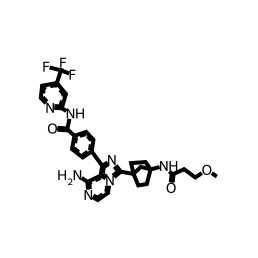 COCCC(=O)NC12CCC(c3nc(-c4ccc(C(=O)Nc5cc(C(F)(F)F)ccn5)cc4)c4c(N)nccn34)(CC1)C2